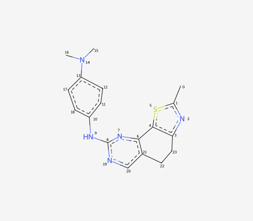 Cc1nc2c(s1)-c1nc(Nc3ccc(N(C)C)cc3)ncc1CC2